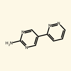 Nc1ncc(-c2cccnn2)cn1